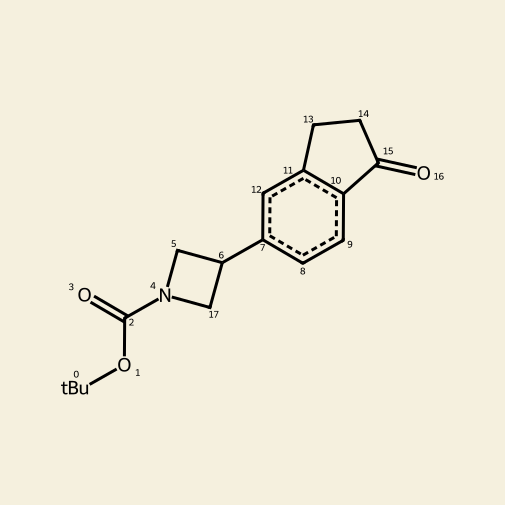 CC(C)(C)OC(=O)N1CC(c2ccc3c(c2)CCC3=O)C1